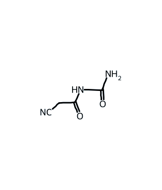 N#CCC(=O)NC(N)=O